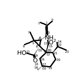 CC(C)=C[C@H]1C(C)(C)[C@]1(C(=O)O)[C@@]1(C(N)=O)C[C@@H](C)CC[C@@H]1C(C)C